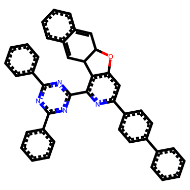 C1=c2ccccc2=CC2c3c(cc(-c4ccc(-c5ccccc5)cc4)nc3-c3nc(-c4ccccc4)nc(-c4ccccc4)n3)OC12